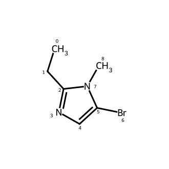 CCc1ncc(Br)n1C